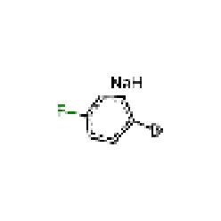 [B]c1ccc(F)cc1.[NaH]